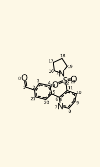 O=Cc1ccc(-c2ncccc2S(=O)(=O)N2CCCC2)cc1